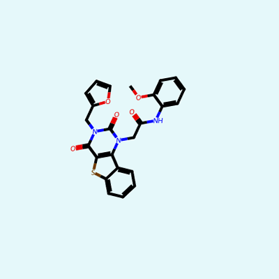 COc1ccccc1NC(=O)Cn1c(=O)n(Cc2ccco2)c(=O)c2sc3ccccc3c21